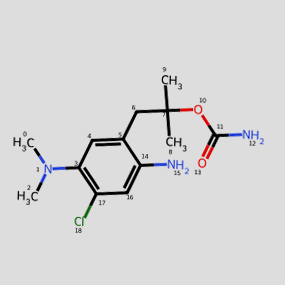 CN(C)c1cc(CC(C)(C)OC(N)=O)c(N)cc1Cl